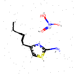 CCCCc1csc(N)n1.O=[N+]([O-])O